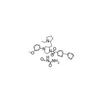 CCN1CCCC1CC1CN(c2cccc(OC)c2)CCN1S(=O)(=O)c1ccc(-c2ccccc2)cc1.NC(=O)NC=O